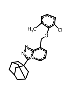 Cc1cccc(Cl)c1OCc1cccn2c(C34CC5CC(CC(C5)C3)C4)nnc12